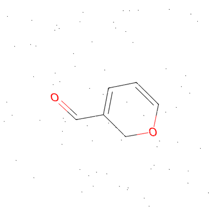 O=CC1=CC=COC1